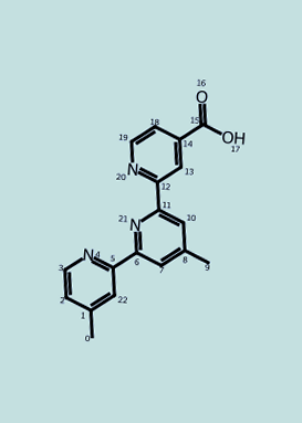 Cc1ccnc(-c2cc(C)cc(-c3cc(C(=O)O)ccn3)n2)c1